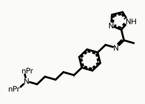 CCCN(CCC)CCCC[CH]c1ccc(CN=C(C)c2ncc[nH]2)cc1